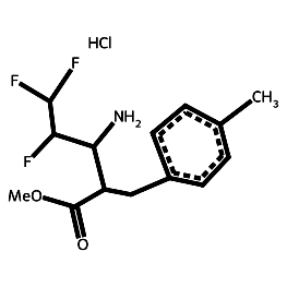 COC(=O)C(Cc1ccc(C)cc1)C(N)C(F)C(F)F.Cl